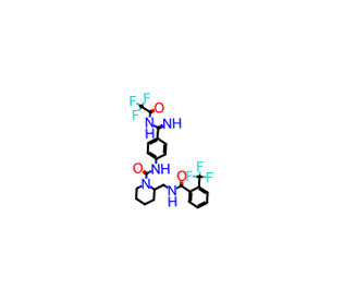 N=C(NC(=O)C(F)(F)F)c1ccc(NC(=O)N2CCCCC2CNC(=O)c2ccccc2C(F)(F)F)cc1